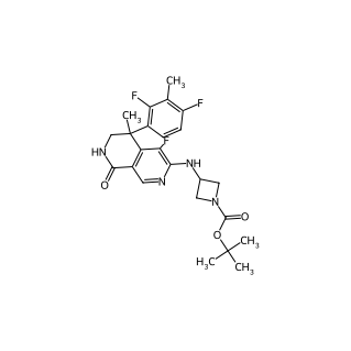 Cc1c(F)ccc(C2(C)CNC(=O)c3cnc(NC4CN(C(=O)OC(C)(C)C)C4)c(F)c32)c1F